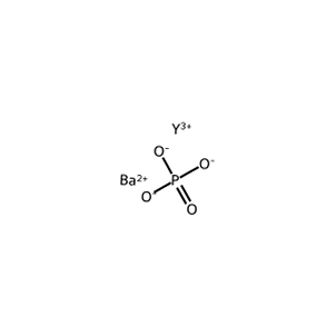 O=P([O-])([O-])[O-].[Ba+2].[Y+3]